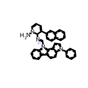 NN1C=CC=C(c2ccc3ccccc3c2)C1/N=C/n1c2ccccc2c2ccc3c(ccn3-c3ccccc3)c21